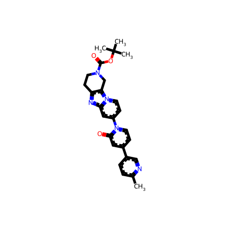 Cc1ccc(-c2ccn(-c3ccn4c5c(nc4c3)CCN(C(=O)OC(C)(C)C)C5)c(=O)c2)cn1